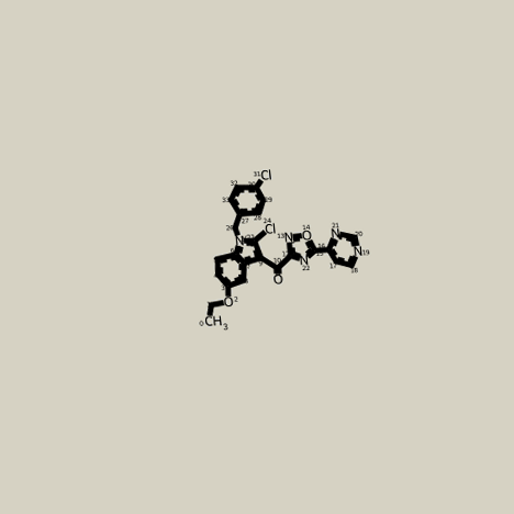 CCOc1ccc2c(c1)c(C(=O)c1noc(-c3ccncn3)n1)c(Cl)n2Cc1ccc(Cl)cc1